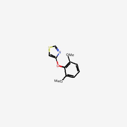 COc1cccc(OC)c1Oc1cs[c]n1